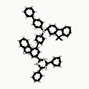 CC1(C)c2ccccc2-c2ccc(N(c3ccc(-c4ccccc4)cc3)c3ccc(-c4cc(-c5nc(-c6ccccc6)nc(-c6ccccc6)n5)cc5oc6ccccc6c45)cc3)cc21